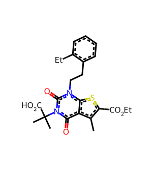 CCOC(=O)c1sc2c(c1C)c(=O)n(C(C)(C)C(=O)O)c(=O)n2CCc1ccccc1CC